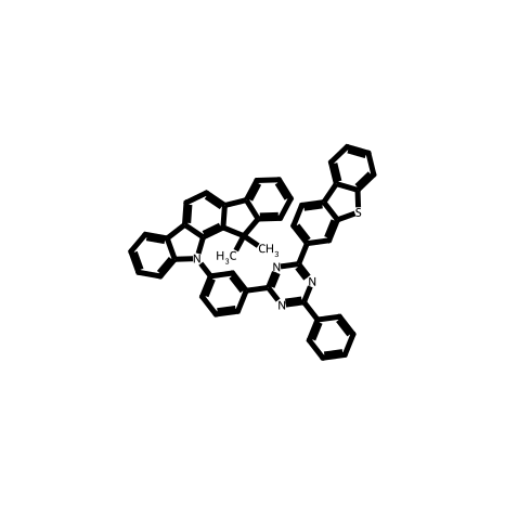 CC1(C)c2ccccc2-c2ccc3c4ccccc4n(-c4cccc(-c5nc(-c6ccccc6)nc(-c6ccc7c(c6)sc6ccccc67)n5)c4)c3c21